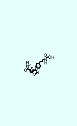 NC(=O)c1cc2ncnc(N3CCC(CCCNC(=O)O)CC3)c2s1